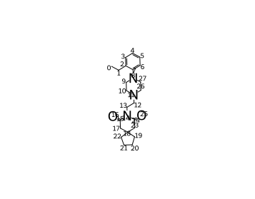 CCc1ccccc1N1CCN(CCN2C(=O)CC3(CCCC3)CC2=O)CC1